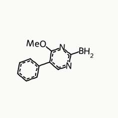 Bc1ncc(-c2ccccc2)c(OC)n1